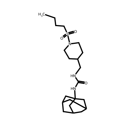 CCCCS(=O)(=O)N1CCC(CNC(=O)NC23CC4CC(CC(C4)C2)C3)CC1